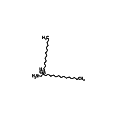 CCCCCCCCCCCCCC[N+](C)(C[SiH3])CCCCCCCCCCCCCC